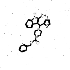 Cc1[nH]c2ccccc2c1C(c1cccs1)N1CCN(C(=O)OCc2ccccc2)CC1